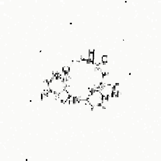 CC1Nc2ccn3ncc(c3n2)CC(=O)NCCOc2ncc(F)cc21